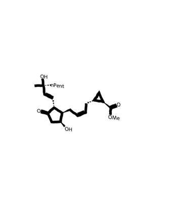 CCCCC[C@](C)(O)/C=C/[C@H]1C(=O)C[C@H](O)[C@@H]1C/C=C\C[C@@H]1C[C@H]1C(=O)OC